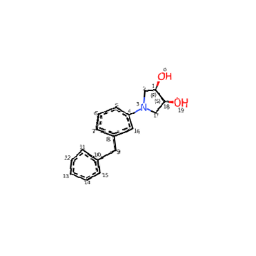 O[C@@H]1CN(c2cccc(Cc3ccccc3)c2)C[C@@H]1O